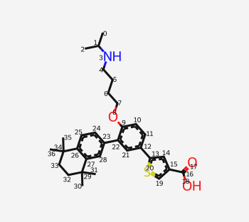 CC(C)NCCCCOc1ccc(-c2cc(C(=O)O)cs2)cc1-c1ccc2c(c1)C(C)(C)CCC2(C)C